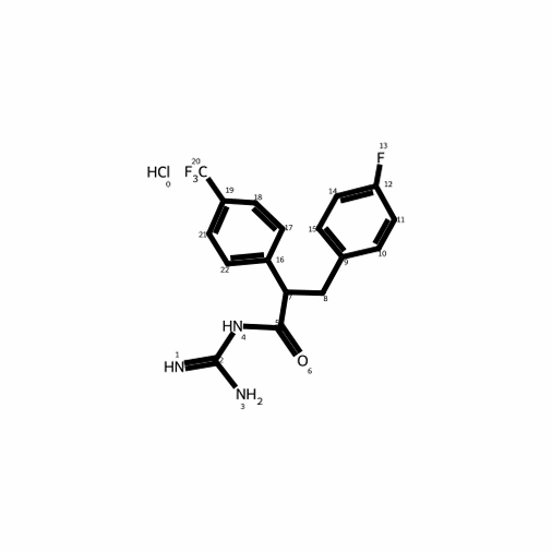 Cl.N=C(N)NC(=O)C(Cc1ccc(F)cc1)c1ccc(C(F)(F)F)cc1